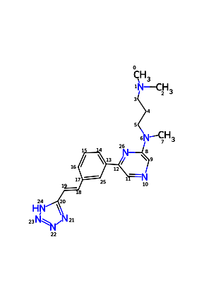 CN(C)CCCN(C)c1cncc(-c2cccc(C=Cc3nnn[nH]3)c2)n1